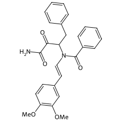 COc1ccc(/C=C/N(C(=O)c2ccccc2)C(Cc2ccccc2)C(=O)C(N)=O)cc1OC